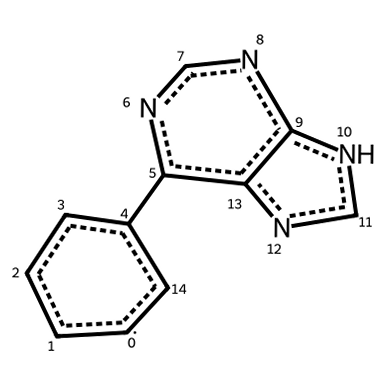 [c]1cccc(-c2ncnc3[nH]cnc23)c1